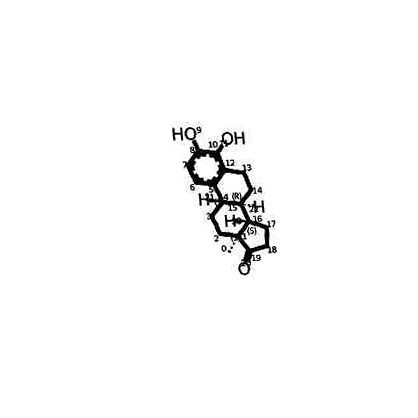 C[C@]12CC[C@@H]3c4ccc(O)c(O)c4CC[C@H]3[C@@H]1CCC2=O